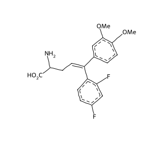 COc1ccc(C(=CCC(N)C(=O)O)c2ccc(F)cc2F)cc1OC